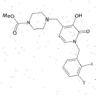 COC(=O)N1CCN(Cc2ccn(Cc3cccc(I)c3I)c(=O)c2O)CC1